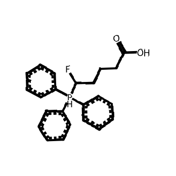 O=C(O)CCCC(F)[PH](c1ccccc1)(c1ccccc1)c1ccccc1